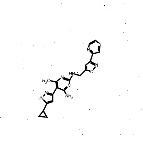 Cc1nc(NCc2cc(-c3cnccn3)no2)nc(N)c1-c1cc(C2CC2)[nH]n1